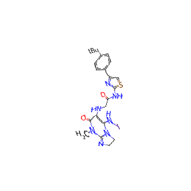 CN1C(=O)C(NCC(=O)Nc2nc(-c3ccc(C(C)(C)C)cc3)cs2)=C(NI)N2CCN=C12